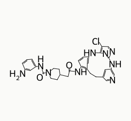 Nc1cccc(NC(=O)N2CCC(CC(=O)Nc3ccc4cc3CCc3cncc(c3)Nc3ncc(Cl)c(n3)N4)CC2)c1